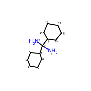 NC(N)(C1CCCCC1)C1CCCCC1